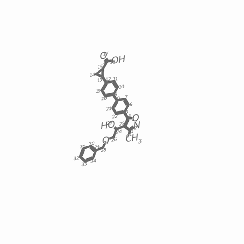 Cc1noc(-c2ccc(-c3ccc(C4CC4C(=O)O)cc3)cc2)c1C(O)COCc1ccccc1